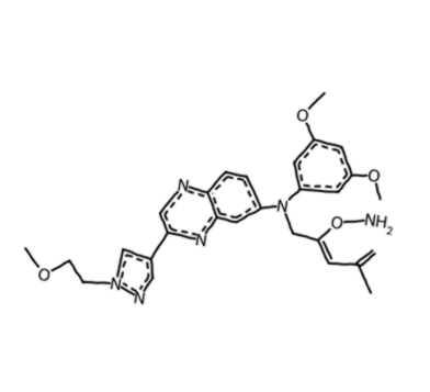 C=C(C)/C=C(/CN(c1cc(OC)cc(OC)c1)c1ccc2ncc(-c3cnn(CCOC)c3)nc2c1)ON